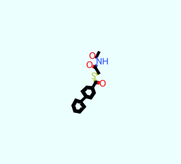 CC(=O)NC(=O)CSC(=O)c1ccc(-c2ccccc2)cc1